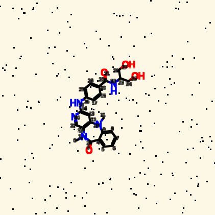 CN1C(=O)c2ccccc2N(C)c2cc(Nc3ccc(C(=O)NC(CO)CO)cc3)ncc21